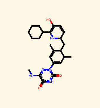 CNc1nn(C2=CC(C)C(CC3C=CC(O)=C(C4CCCCC4)N3)C(C)=C2)c(=O)[nH]c1=O